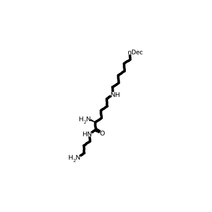 CCCCCCCCCCCCCCCCNCCCC[C@H](N)C(=O)NCCCN